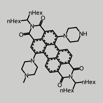 CCCCCCC(CCCCCC)N1C(=O)c2ccc3c4c(N5CCNCC5)cc5c6c(cc(N7CCN(C)CC7)c(c7ccc(c2c37)C1=O)c64)C(=O)N(C(CCCCCC)CCCCCC)C5=O